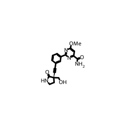 COc1cc(C(N)=O)nc(-c2cccc(C#C[C@@]3(CO)CCNC3=O)c2)n1